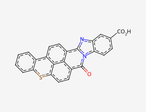 O=C(O)c1ccc2c(c1)nc1c3ccc4c5ccccc5sc5ccc(c(=O)n21)c3c54